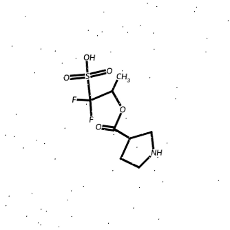 CC(OC(=O)C1CCNC1)C(F)(F)S(=O)(=O)O